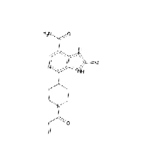 C=CC(=O)N1CCC(c2ncc(C(N)=O)c3[nH]c(=O)[nH]c23)CC1